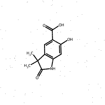 CC1(C)C(=O)Nc2cc(O)c(C(=O)O)cc21